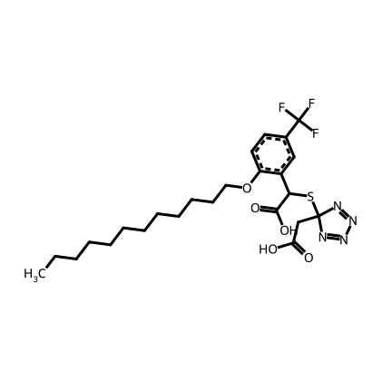 CCCCCCCCCCCCOc1ccc(C(F)(F)F)cc1C(SC1(CC(=O)O)N=NN=N1)C(=O)O